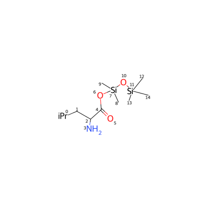 CC(C)CC(N)C(=O)O[Si](C)(C)O[Si](C)(C)C